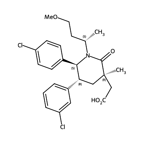 COCC[C@H](C)N1C(=O)[C@@](C)(CC(=O)O)C[C@H](c2cccc(Cl)c2)[C@H]1c1ccc(Cl)cc1